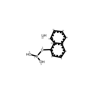 OB(O)Oc1cccc2ccccc12.[LiH]